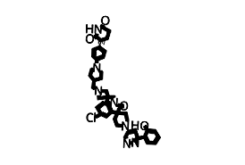 O=C1CC[C@H](c2ccc(N3CCC(CN4CC5(C4)CN(C(=O)C4(c6cccc(Cl)c6)CCN(c6cnnc(-c7ccccc7O)c6)CC4)C5)CC3)cc2)C(=O)N1